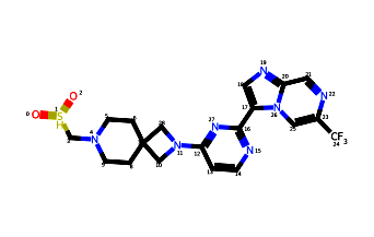 O=[SH](=O)CN1CCC2(CC1)CN(c1ccnc(-c3cnc4cnc(C(F)(F)F)cn34)n1)C2